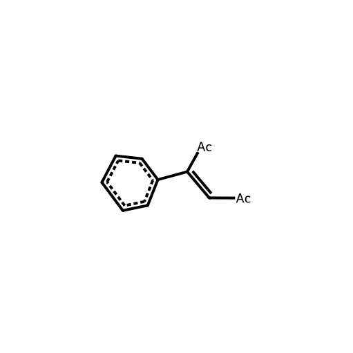 CC(=O)/C=C(\C(C)=O)c1ccccc1